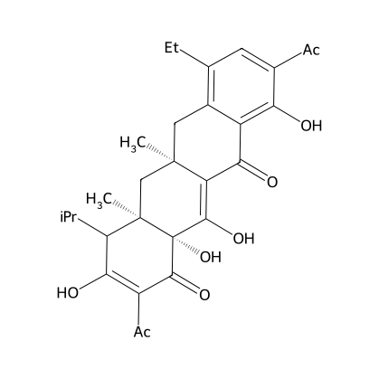 CCc1cc(C(C)=O)c(O)c2c1C[C@]1(C)C[C@]3(C)C(C(C)C)C(O)=C(C(C)=O)C(=O)[C@]3(O)C(O)=C1C2=O